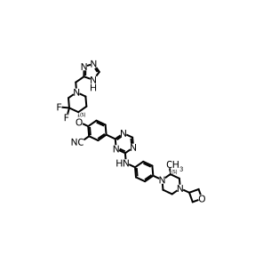 C[C@H]1CN(C2COC2)CCN1c1ccc(Nc2ncnc(-c3ccc(O[C@H]4CCN(Cc5nnc[nH]5)CC4(F)F)c(C#N)c3)n2)cc1